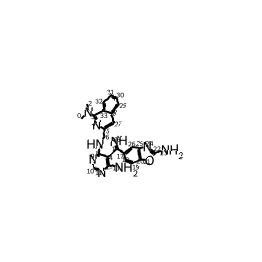 CN(C)c1nc(CNc2ncnc(N)c2C(=N)c2ccc3oc(N)nc3c2)cc2ccccc12